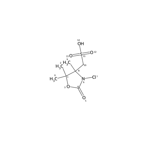 CC1(C)OC(=O)N(Cl)C1(C)CS(=O)(=O)O